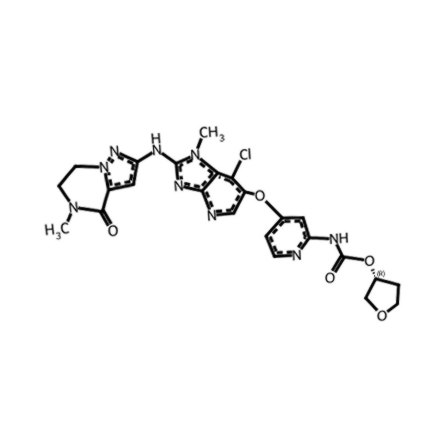 CN1CCn2nc(Nc3nc4ncc(Oc5ccnc(NC(=O)O[C@@H]6CCOC6)c5)c(Cl)c4n3C)cc2C1=O